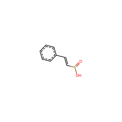 O=S(O)C=Cc1ccccc1